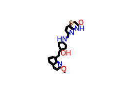 COc1ccc2cccc(CCC3(O)CCC(NCc4ccc5c(n4)NC(=O)CS5)CC3)c2n1